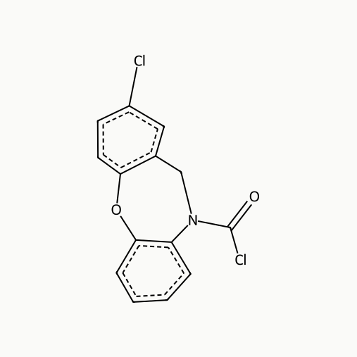 O=C(Cl)N1Cc2cc(Cl)ccc2Oc2ccccc21